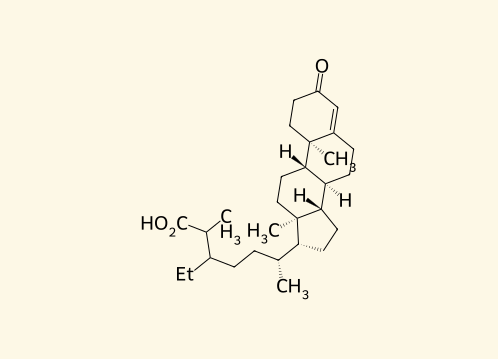 CCC(CC[C@@H](C)[C@H]1CC[C@H]2[C@@H]3CCC4=CC(=O)CC[C@]4(C)[C@H]3CC[C@]12C)C(C)C(=O)O